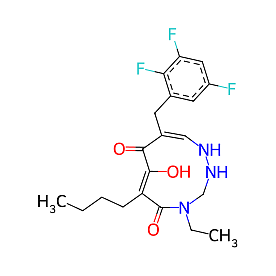 CCCC/C1=C(/O)C(=O)/C(Cc2cc(F)cc(F)c2F)=C\NNCN(CC)C1=O